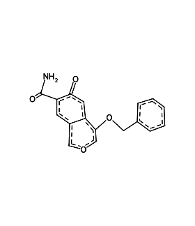 NC(=O)c1cc2cocc(OCc3ccccc3)c-2cc1=O